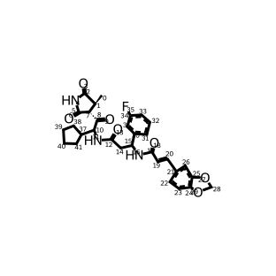 C[C@@H]1C(=O)NC(=O)[C@H]1C(=O)C(NC(=O)CC(NC(=O)/C=C/c1ccc2c(c1)OCO2)c1cccc(F)c1)C1CCCC1